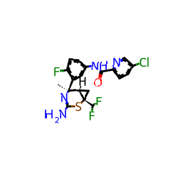 C[C@@]1(c2cc(NC(=O)c3ccc(Cl)cn3)ccc2F)N=C(N)S[C@@]2(C(F)F)C[C@@H]12